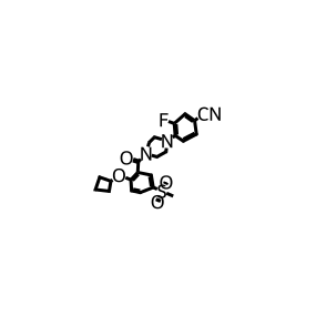 CS(=O)(=O)c1ccc(OC2CCC2)c(C(=O)N2CCN(c3ccc(C#N)cc3F)CC2)c1